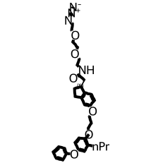 CCCc1cc(Oc2ccccc2)ccc1OCCCOc1ccc2c(c1)CC[C@H]2CC(=O)NCCOCCOCCN=[N+]=[N-]